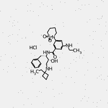 CCNc1cc(C(=O)N[C@@H](Cc2ccccc2)[C@H](O)CNC2(CC)CCC2)cc(N2CCCCS2(=O)=O)c1.Cl